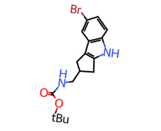 CC(C)(C)OC(=O)NCC1Cc2[nH]c3ccc(Br)cc3c2C1